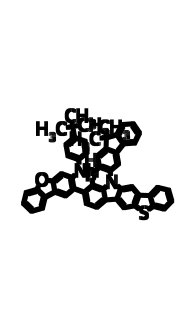 CC(C)(C)c1ccc(Nc2cc3oc4ccccc4c3cc2-c2ccc3c4cc5sc6ccccc6c5cc4n4c3c2Bc2cc3c(cc2-4)-c2ccccc2C3(C)C)cc1